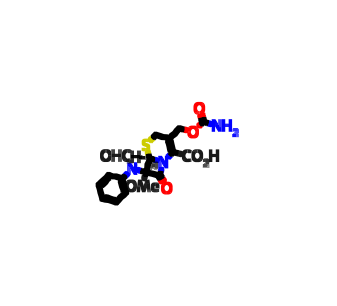 COC1(N(C=O)c2ccccc2)C(=O)N2C(C(=O)O)=C(COC(N)=O)CS[C@@H]21